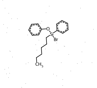 CCCCCC[Si](Br)(Oc1ccccc1)c1ccccc1